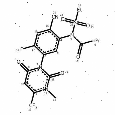 CCCC(=O)N(c1cc(-n2c(=O)cc(C(F)(F)F)n(C)c2=O)c(F)cc1C#N)S(=O)(=O)CC